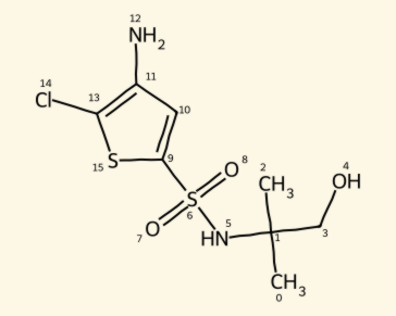 CC(C)(CO)NS(=O)(=O)c1cc(N)c(Cl)s1